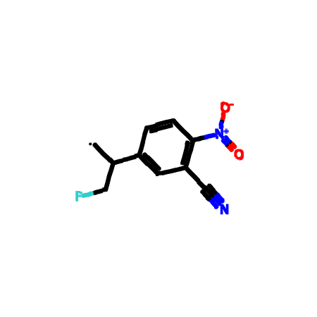 [CH2]C(CF)c1ccc([N+](=O)[O-])c(C#N)c1